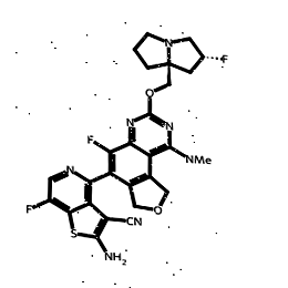 CNc1nc(OC[C@@]23CCCN2C[C@H](F)C3)nc2c(F)c(-c3ncc(F)c4sc(N)c(C#N)c34)c3c(c12)COC3